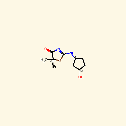 CC(C)[C@]1(C)SC(N[C@H]2CC[C@H](O)C2)=NC1=O